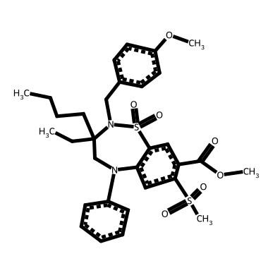 CCCCC1(CC)CN(c2ccccc2)c2cc(S(C)(=O)=O)c(C(=O)OC)cc2S(=O)(=O)N1Cc1ccc(OC)cc1